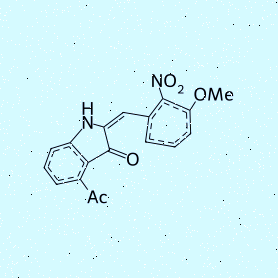 COc1cccc(C=C2Nc3cccc(C(C)=O)c3C2=O)c1[N+](=O)[O-]